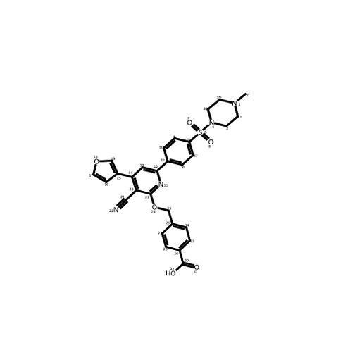 CN1CCN(S(=O)(=O)c2ccc(-c3cc(-c4ccoc4)c(C#N)c(OCc4ccc(C(=O)O)cc4)n3)cc2)CC1